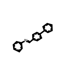 C(=Nc1ccccc1)c1ccc(-c2ccccc2)cc1